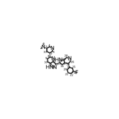 CN(C)c1cncc(-c2ccc3[nH]nc(-c4cc5c(-c6cccc(F)c6)cncc5[nH]4)c3n2)c1